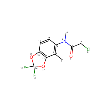 Cc1c(N(C)C(=O)CCl)ccc2c1OC(F)(F)O2